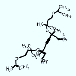 BC(C)OCCC(C)(C)OC(C)(C#CC(C)(CC(C)C)OC(C)(C)CCOC(C)O)CC(C)C